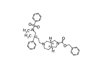 CN(C[C@@](C)(CCN1CC[C@H]2CN(C(=O)OCc3ccccc3)C[C@H]2C1)c1ccccc1)S(=O)(=O)c1ccccc1